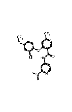 CN(C)c1cc(NC(=O)c2cnc(C(F)(F)F)cc2Oc2ccc(OC(F)(F)F)cc2Cl)ccn1